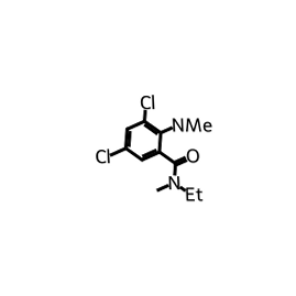 CCN(C)C(=O)c1cc(Cl)cc(Cl)c1NC